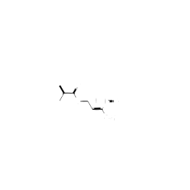 C=C(C)C(=O)OCC=C(O)[PH2]=O